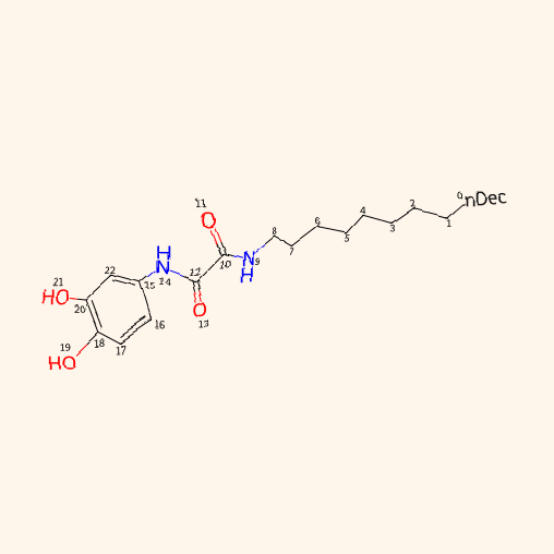 CCCCCCCCCCCCCCCCCCNC(=O)C(=O)Nc1ccc(O)c(O)c1